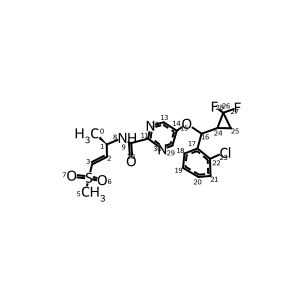 C[C@H](/C=C/S(C)(=O)=O)NC(=O)c1ncc(OC(c2ccccc2Cl)C2CC2(F)F)cn1